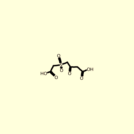 O=C(O)CC(=O)CS(=O)(=O)CC(=O)O